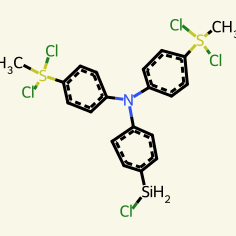 CS(Cl)(Cl)c1ccc(N(c2ccc([SiH2]Cl)cc2)c2ccc(S(C)(Cl)Cl)cc2)cc1